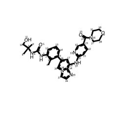 Cc1c(NC(=O)NC(C)(C)CO)cccc1-c1cc(Nc2ccc(C(=O)N3CCOCC3)cn2)c2nccn2c1